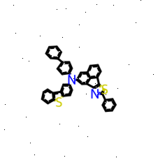 c1ccc(-c2ccc(N(c3cc4c5c(cccc5c3)-c3sc(-c5ccccc5)nc3-4)c3ccc4sc5ccccc5c4c3)cc2)cc1